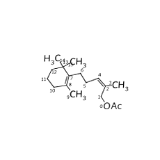 CC(=O)OCC(C)=CCCC1=C(C)CCCC1(C)C